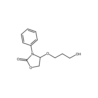 O=C1OCC(OCCCO)N1c1ccccc1